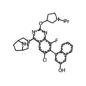 CC(C)N1CCC(Oc2nc(N3CC4CCC(C3)N4)c3cc(Cl)c(-c4cc(O)cc5ccccc45)c(F)c3n2)C1